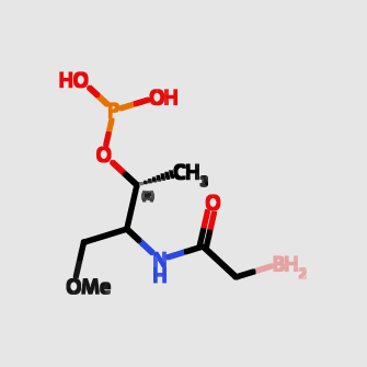 BCC(=O)NC(COC)[C@@H](C)OP(O)O